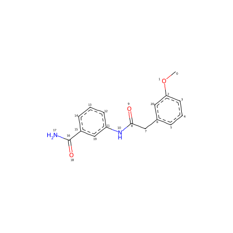 COc1cccc(CC(=O)Nc2cccc(C(N)=O)c2)c1